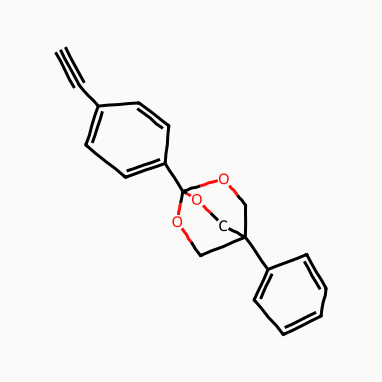 C#Cc1ccc(C23OCC(c4ccccc4)(CO2)CO3)cc1